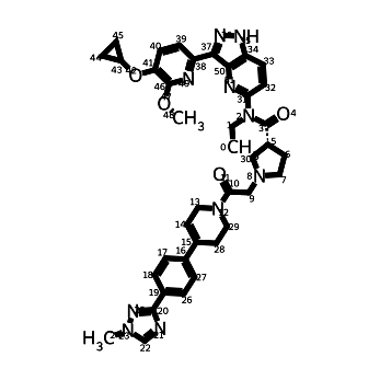 CCN(C(=O)[C@@H]1CCN(CC(=O)N2CC=C(c3ccc(-c4ncn(C)n4)cc3)CC2)C1)c1ccc2[nH]nc(-c3ccc(OC4CC4)c(OC)n3)c2n1